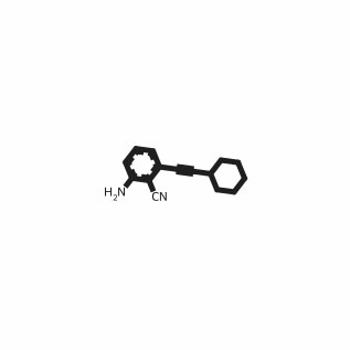 N#Cc1c(N)cccc1C#CC1CCCCC1